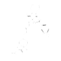 CCOC(=O)C(CCCCC[C@H]1CO[C@@](C)(C(=O)OCC)OC1)(NC(=O)c1ccc(C)cc1)C(=O)OCC